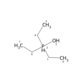 CC[PH](O)(CC)CC